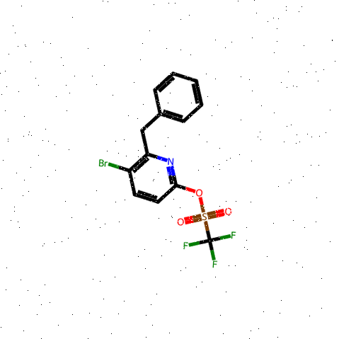 O=S(=O)(Oc1ccc(Br)c(Cc2ccccc2)n1)C(F)(F)F